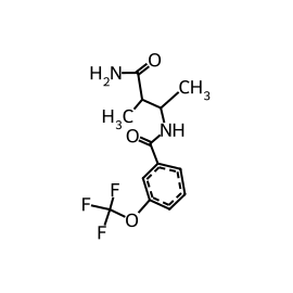 CC(NC(=O)c1cccc(OC(F)(F)F)c1)C(C)C(N)=O